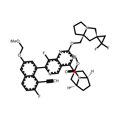 C#Cc1c(F)ccc2cc(OCOC)cc(-c3ncc4c(N5C[C@H]6CC[C@@H](C5)N6C(=O)OC(C)(C)C)nc(OC[C@@]56CCCN5C[C@]5(CC5(F)F)C6)nc4c3F)c12